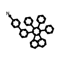 N#Cc1ccc(-c2cccc(-c3c(-c4ccccc4)c(-c4ccccc4)c(-c4ccccc4)c4c3-c3cccc5cccc-4c35)c2)cc1